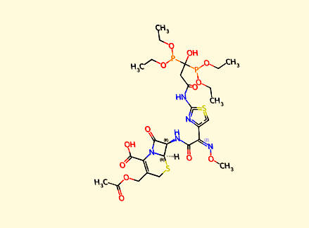 CCOP(OCC)C(O)(CC(=O)Nc1nc(/C(=N/OC)C(=O)N[C@@H]2C(=O)N3C(C(=O)O)=C(COC(C)=O)CS[C@H]23)cs1)P(OCC)OCC